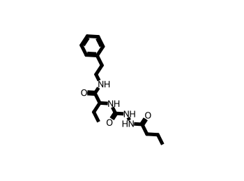 CCCC(=O)NNC(=O)NC(CC)C(=O)NCCc1ccccc1